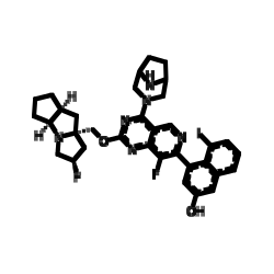 Oc1cc(-c2ncc3c(N4CC5CCC(C4)N5)nc(OC[C@]45C[C@@H](F)CN4[C@H]4CCC[C@H]4C5)nc3c2F)c2c(I)cccc2c1